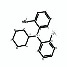 CCCCc1ccccc1P(c1ccccc1CCCC)C1CCCCC1